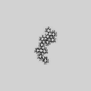 c1ccc(-c2cc(-c3cccc(-c4ccc(-c5c6ccccc6c(-c6cccc(-c7ccccn7)c6)c6ccccc56)cc4)c3)c(-c3ccccc3)c(-c3ccccc3)c2-c2ccccc2)cc1